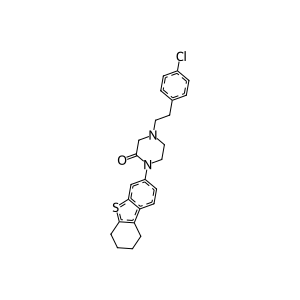 O=C1CN(CCc2ccc(Cl)cc2)CCN1c1ccc2c3c(sc2c1)CCCC3